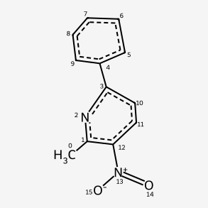 Cc1nc(-c2ccccc2)ccc1[N+](=O)[O-]